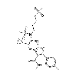 CNC(=O)c1c(-c2ccc(C)cc2)oc2nc(N(CCCCS(C)(=O)=O)S(C)(=O)=O)c(C3CC3)cc12